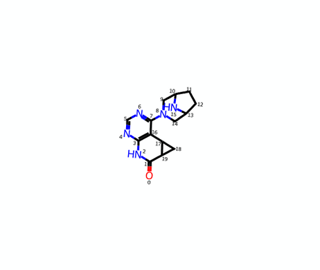 O=C1Nc2ncnc(N3CC4CCC(C3)N4)c2C2CC12